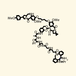 COc1ccc(C2=CN3C(=O)c4cc(OC)c(OCCCCCOc5cc6c(cc5OC)C(=O)N5CC7(CC7)CC5[C@H](O)N6C(=O)OCc5ccc(NC(=O)[C@H](C)NC(=O)[C@@H](NC(=O)CNC(=O)CNC(=O)CCC(=O)N6Cc7ccccc7/C(NC(C)C)=C(/N)c7ccccc76)C(C)C)cc5)cc4NCC3C2)cc1